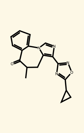 CC1Cc2c(-c3noc(C4CC4)n3)ncn2-c2ccccc2C1=O